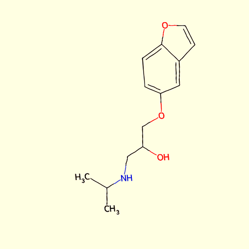 CC(C)NCC(O)COc1ccc2occc2c1